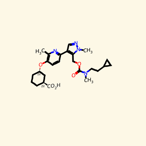 Cc1nc(-c2cnn(C)c2COC(=O)N(C)CCC2CC2)ccc1O[C@H]1CCC[C@H](C(=O)O)C1